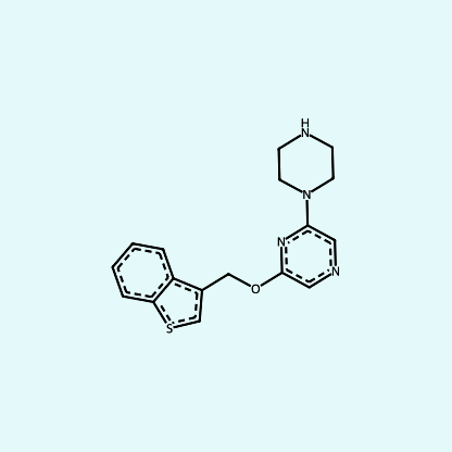 c1ccc2c(COc3cncc(N4CCNCC4)n3)csc2c1